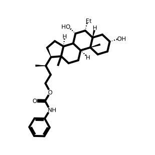 CC[C@H]1[C@@H](O)C2[C@@H]3CC[C@H]([C@H](C)CCOC(=O)Nc4ccccc4)C3(C)CC[C@@H]2[C@@]2(C)CC[C@@H](O)C[C@@H]12